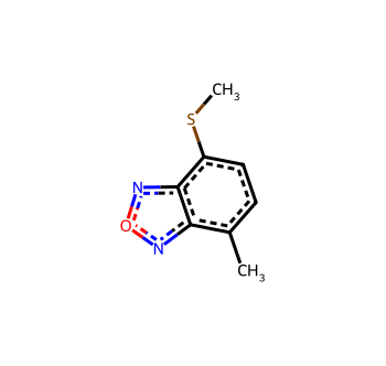 CSc1ccc(C)c2nonc12